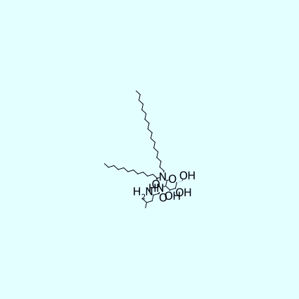 CCCCCCCCCCCCCCCCCCN(C(=O)CCCCCCCCCCC)[C@@H]1O[C@H](CO)[C@@H](O)[C@H](O)[C@H]1NC(=O)[C@@H](N)CC(C)C